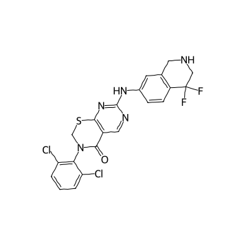 O=C1c2cnc(Nc3ccc4c(c3)CNCC4(F)F)nc2SCN1c1c(Cl)cccc1Cl